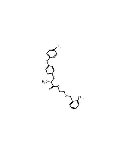 Cc1ccccc1COCCOC(=O)C(C)Oc1ccc(Oc2ccc(C(F)(F)F)cc2)cc1